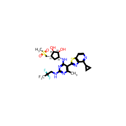 Cc1nc(NCC(F)(F)C(F)(F)F)nc(N[C@@H]2C[C@H](CS(C)(=O)=O)[C@@H](O)[C@H]2O)c1-c1nc2c(C3CC3)nccc2s1